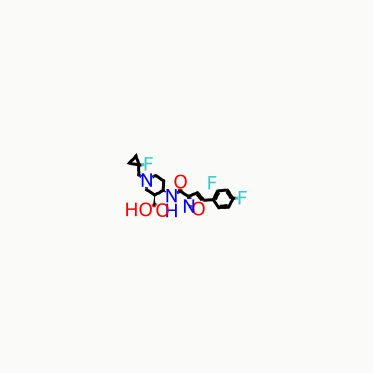 O=C(N[C@H]1CCN(CC2(F)CC2)C[C@@H]1C(=O)O)c1cc(-c2ccc(F)cc2F)on1